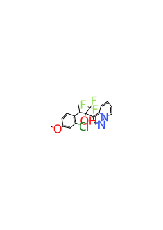 COc1ccc(C(C)C(O)(c2cnn3ccccc23)C(F)(F)F)c(Cl)c1